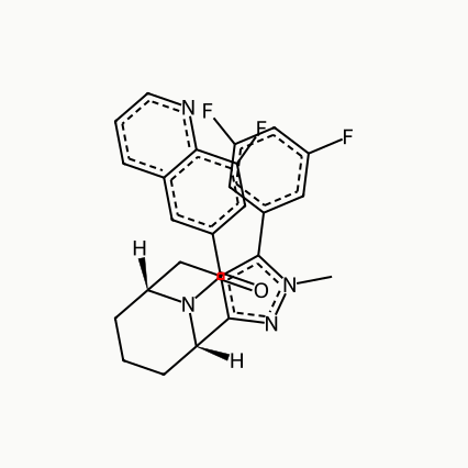 Cn1nc2c(c1-c1cc(F)cc(F)c1)C[C@H]1CCC[C@@H]2N1C(=O)c1cc(F)c2ncccc2c1